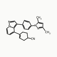 Cc1cc(C)n(-c2ccc(-c3cnn4cccc(C5=CCC(C#N)CC5)c34)cc2)n1